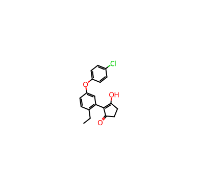 CCc1ccc(Oc2ccc(Cl)cc2)cc1C1=C(O)CCC1=O